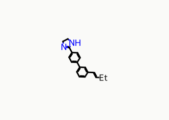 CC/C=C/c1cccc(-c2ccc(C3=NCCN3)cc2)c1